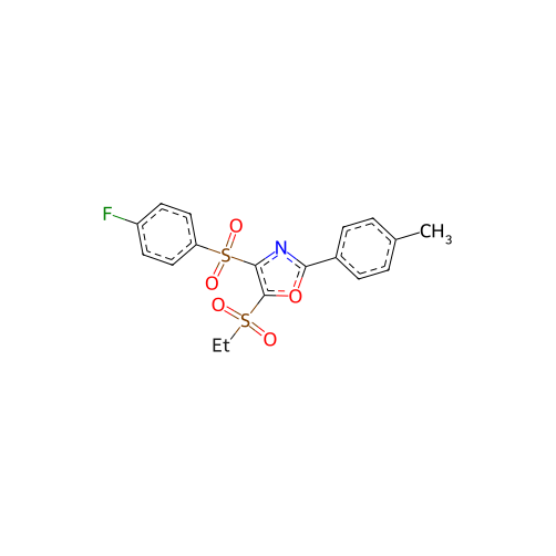 CCS(=O)(=O)c1oc(-c2ccc(C)cc2)nc1S(=O)(=O)c1ccc(F)cc1